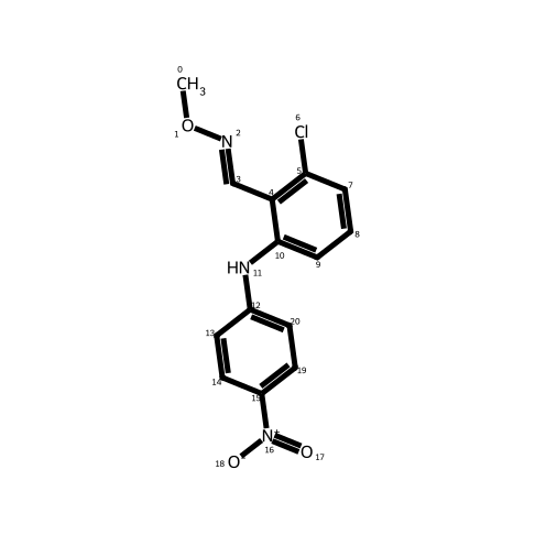 CON=Cc1c(Cl)cccc1Nc1ccc([N+](=O)[O-])cc1